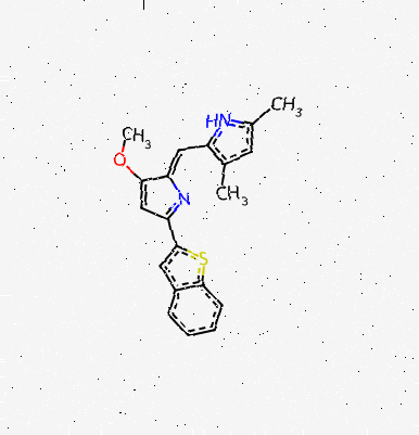 COC1=CC(c2cc3ccccc3s2)=NC1=Cc1[nH]c(C)cc1C